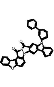 O=c1c2cc3c(cc2n2c4ccc5oc6ccccc6c5c4c(=O)n12)c1ccccc1n3-c1cccc(-c2ccccc2)c1